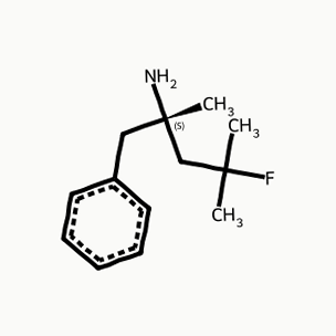 CC(C)(F)C[C@@](C)(N)Cc1ccccc1